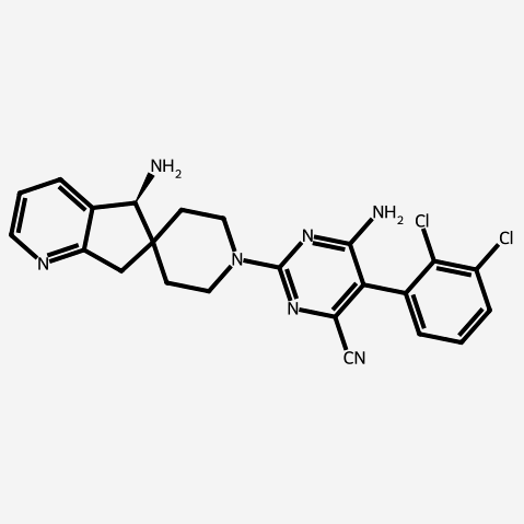 N#Cc1nc(N2CCC3(CC2)Cc2ncccc2[C@H]3N)nc(N)c1-c1cccc(Cl)c1Cl